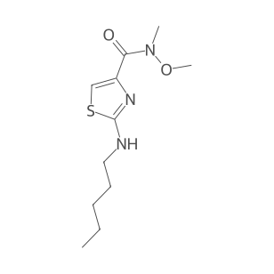 CCCCCNc1nc(C(=O)N(C)OC)cs1